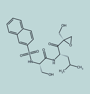 CC(C)C[C@H](NC(=O)[C@H](CO)NS(=O)(=O)c1ccc2ccccc2c1)C(=O)[C@@]1(CO)CO1